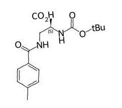 Cc1ccc(C(=O)NC[C@H](NC(=O)OC(C)(C)C)C(=O)O)cc1